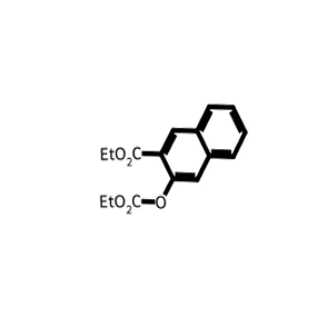 CCOC(=O)Oc1cc2ccccc2cc1C(=O)OCC